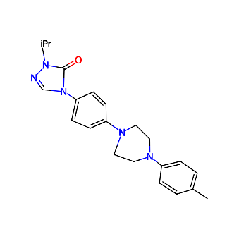 Cc1ccc(N2CCN(c3ccc(-n4cnn(C(C)C)c4=O)cc3)CC2)cc1